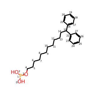 OP(O)OCCCCCCCCCCCC(c1ccccc1)c1ccccc1